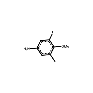 COc1c(C)cc(N)cc1F